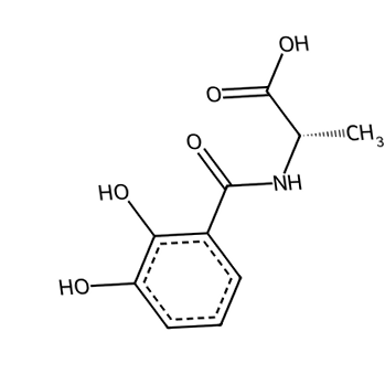 C[C@H](NC(=O)c1cccc(O)c1O)C(=O)O